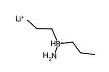 CCC[BH-](N)CCC.[Li+]